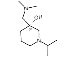 CC(C)N1CCC[C@@](O)(CN(C)C)C1